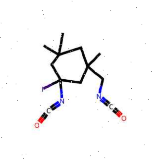 CC1(C)CC(C)(CN=C=O)CC(I)(N=C=O)C1